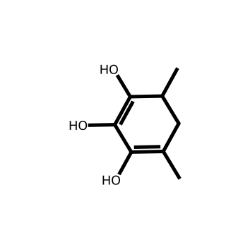 CC1=C(O)C(O)=C(O)C(C)C1